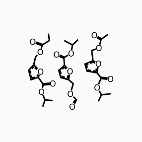 CC(=O)OCc1ccc(C(=O)OC(C)C)o1.CC(C)OC(=O)c1ccc(COC=O)o1.CCC(=O)OCc1ccc(C(=O)OC(C)C)o1